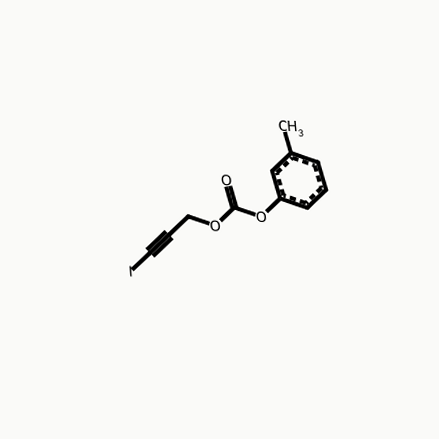 Cc1cccc(OC(=O)OCC#CI)c1